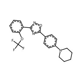 FC(F)(F)Oc1ccccc1-c1noc(-c2ccc(N3CCCCC3)cc2)n1